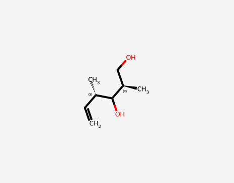 C=C[C@H](C)C(O)[C@H](C)CO